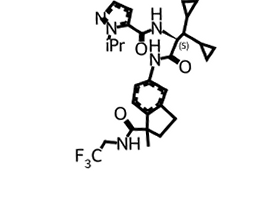 CC(C)n1nccc1C(=O)N[C@H](C(=O)Nc1ccc2c(c1)CCC2(C)C(=O)NCC(F)(F)F)C(C1CC1)C1CC1